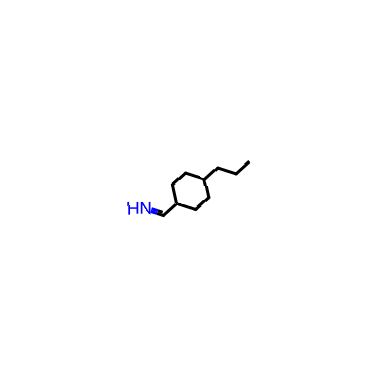 CCCC1CCC(C=N)CC1